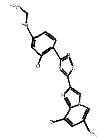 O=C(O)CNc1ccc(-c2noc(-c3cn4cc(C(F)(F)F)cc(Cl)c4n3)n2)c(Cl)c1